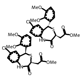 COC(=O)C[C@@H]1S[C@@H](c2cccc(OC)c2OC)c2cc(Cl)ccc2NC1=O.COC(=O)C[C@@H]1S[C@H](c2cccc(OC)c2OC)c2cc(Cl)ccc2NC1=O